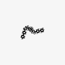 O=C(CC(=O)C(F)(F)CC(F)(F)C(F)(F)C(=O)CC(=O)c1ccc(-c2ccccc2)cc1)c1ccc(-c2ccccc2)cc1